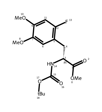 COC(=O)[C@@H](Cc1cc(OC)c(OC)cc1F)NC(=O)OC(C)(C)C